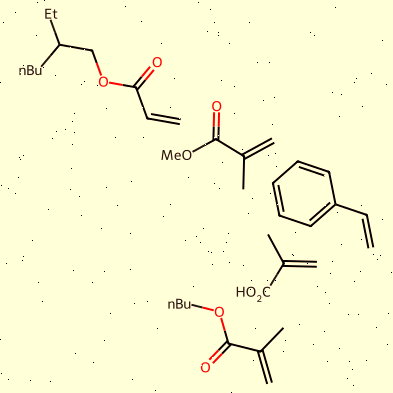 C=C(C)C(=O)O.C=C(C)C(=O)OC.C=C(C)C(=O)OCCCC.C=CC(=O)OCC(CC)CCCC.C=Cc1ccccc1